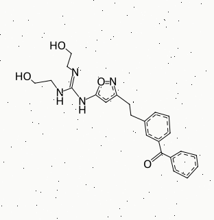 O=C(c1ccccc1)c1cccc(CCc2cc(NC(=NCCO)NCCO)on2)c1